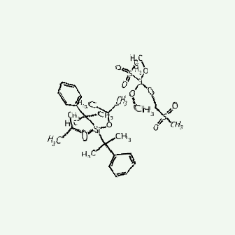 CC(C)O[Si](OC(C)C)(C(C)(C)c1ccccc1)C(C)(C)c1ccccc1.CO[Si](OC)(OCS(C)(=O)=O)S(C)(=O)=O